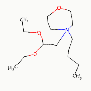 CCCC[N+]1(CC(OCC)OCC)CCOCC1